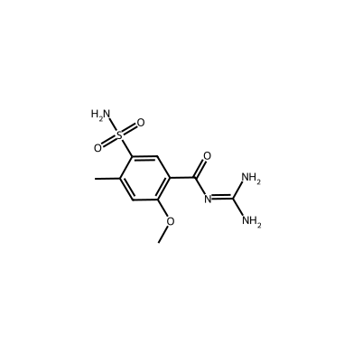 COc1cc(C)c(S(N)(=O)=O)cc1C(=O)N=C(N)N